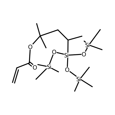 C=CC(=O)OC(C)(C)CC(C)[Si](O[Si](C)(C)C)(O[Si](C)(C)C)O[Si](C)(C)C